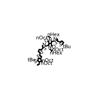 C=CC1=C(SC(C)(C)C)c2sc(-c3ccc(-c4cnc(C5=C6C(=O)N(CC(CCCCCC)CCCCCCCC)C(c7ncc(-c8ccc(C(C)(C)C)s8)s7)=C6C(=O)N5CC(CCCCCC)CCCCCCCC)s4)s3)cc2C1(CCCCCCCC)CCCCCCCC